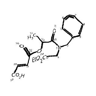 CCOC(=O)CN(Cc1ccccc1)C(=O)C(C)OC(=O)/C=C/C(=O)O